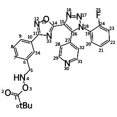 CC(C)(C)C(=O)ONCc1cccc(-c2noc(-c3nnn(-c4ccccc4F)c3-c3ccncc3)n2)c1